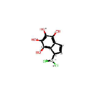 Oc1c(O)c(O)c2c(c1O)C=C[CH]2[Zr]([Cl])[Cl]